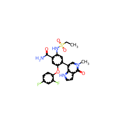 CCS(=O)(=O)Nc1cc(-c2cn(C)c(=O)c3cc[nH]c23)c(Oc2ccc(F)cc2F)cc1C(N)=O